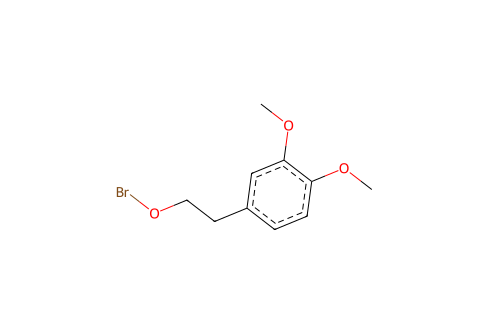 COc1ccc(CCOBr)cc1OC